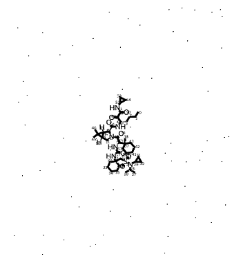 CCCC[C@H](NC(=O)[C@@H]1[C@@H]2[C@H](CN1C(=O)[C@@H](NC(=O)NC1(CS(=O)(=O)N(C(C)C)C3CC3)CCCCC1)C1(C)CCCCC1)C2(C)C)C(=O)C(=O)NC1CC1